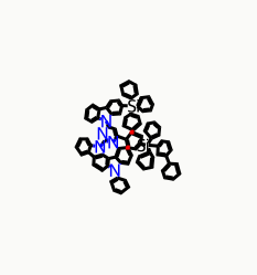 c1ccc(-c2cccc([Si](c3ccccc3)(c3ccccc3)c3ccc(-c4cc(-n5c6ccccc6c6ccc([Si](c7ccccc7)(c7ccccc7)c7ccccc7)cc65)nc(-n5c6ccccc6c6ccc7c(c8ccccc8n7-c7ccccc7)c65)n4)cc3)c2)cc1